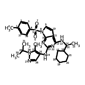 Cc1ccc(S(=O)(=O)n2ccc3c(N[C@@H](C)C4CCCCC4)nc(Nc4cnn(C(C)C)c4C)nc32)cc1